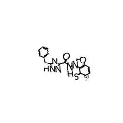 C[C@H]1C=CC2=C(C1=S)N(NC(=O)c1n[nH]c(Cc3ccccc3)n1)CO2